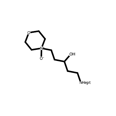 CCCCCCCCCC(O)CC[N+]1([O-])CCOCC1